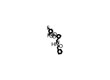 O=C(Cc1ccccc1)NN=Cc1ccccc1OS(=O)(=O)c1ccc(F)cc1F